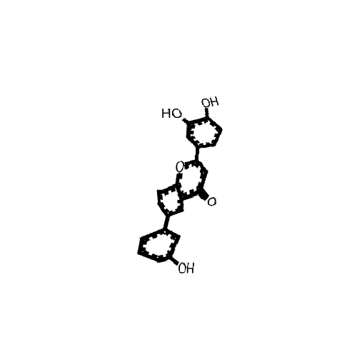 O=c1cc(-c2ccc(O)c(O)c2)oc2ccc(-c3cccc(O)c3)cc12